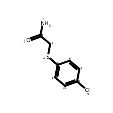 NC(=O)CSc1ccc(Cl)cc1